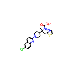 CC(Cc1nccs1)(NC(=O)O)C1CCN(c2ccc3cc(Cl)ccc3n2)CC1